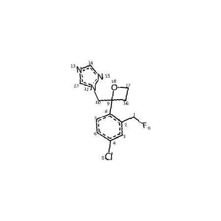 FCc1cc(Cl)ccc1C1(Cn2cncn2)CCO1